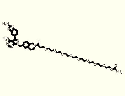 NC(=O)OCCOCCOCCOCCOCCOCCOCCOCCOCCC(=O)N1CCc2cc(Cn3nc(-c4ccc5oc(N)nc5c4)c4c(N)ncnc43)ccc2C1